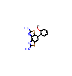 CCOc1ccccc1-c1cc2sc(N)nc2c2nc(N)sc12